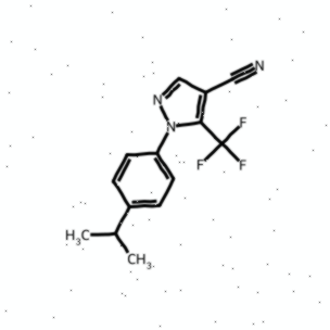 CC(C)c1ccc(-n2ncc(C#N)c2C(F)(F)F)cc1